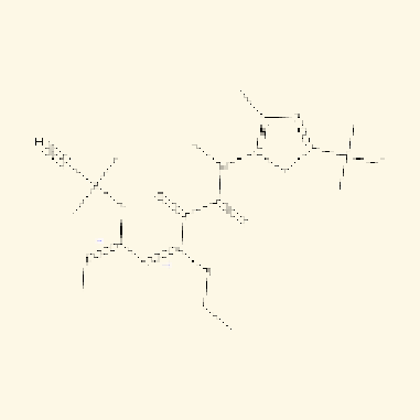 C=C(C(=C)N(C)C1=C(C)C=C(C(C)(C)F)C1)/C(=C\C(=C/C)CC(C)(C)C#N)SCC